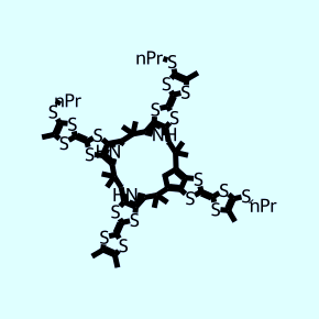 CCCSC1=C(C)S/C(=C2\SC3=C4CC(=C3S2)C(C)(C)c2[nH]c(c3c2S/C(=C2\SC(C)=C(SCCC)S2)S3)C(C)(C)c2[nH]c(c3c2S/C(=C2/SC(C)=C(SCCC)S2)S3)C(C)(C)c2[nH]c(c3c2SC(=C2SC(C)=C(C)S2)S3)C4(C)C)S1